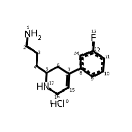 Cl.NCCCC1CC(c2cccc(F)c2)=CCN1